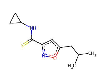 CC(C)Cc1cc(C(=S)NC2CC2)no1